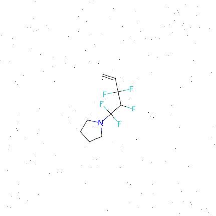 C=CC(F)(F)C(F)C(F)(F)N1CCCC1